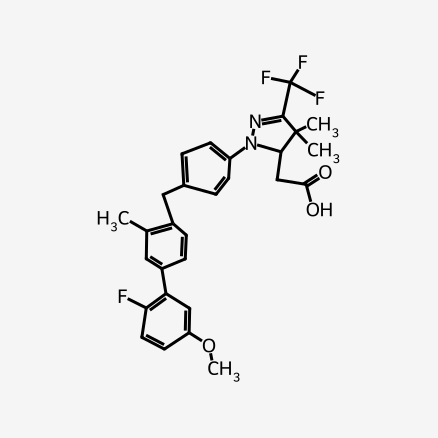 COc1ccc(F)c(-c2ccc(Cc3ccc(N4N=C(C(F)(F)F)C(C)(C)C4CC(=O)O)cc3)c(C)c2)c1